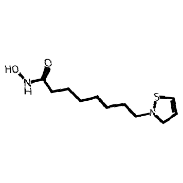 O=C(CCCCCCCN1CC=CS1)NO